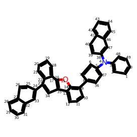 c1ccc(N(c2ccc(-c3cccc4c3oc3c5ccccc5c(-c5ccc6ccccc6c5)cc43)cc2)c2ccc3ccccc3c2)cc1